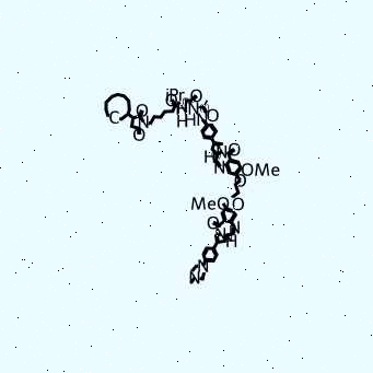 COc1cc2c(cc1OCCCOc1cc3c(cc1OC)C(=O)N1C=C(c4ccc(N5CCN(C)CC5)cc4)C[C@H]1C=N3)N=C[C@@H]1CC(c3ccc(NC(=O)[C@H](C)NC(=O)[C@H](NC(=O)CCCCCN4C(=O)CC(C5CCCCCCCCCC5)C4=O)C(C)C)cc3)=CN1C2=O